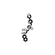 O=C1N(Cc2ccc(C3CCOCC3)cn2)CCN1CC(O)CNc1ccc2ccccc2c1